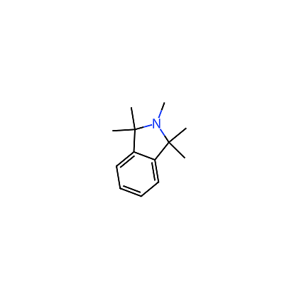 CN1C(C)(C)c2ccccc2C1(C)C